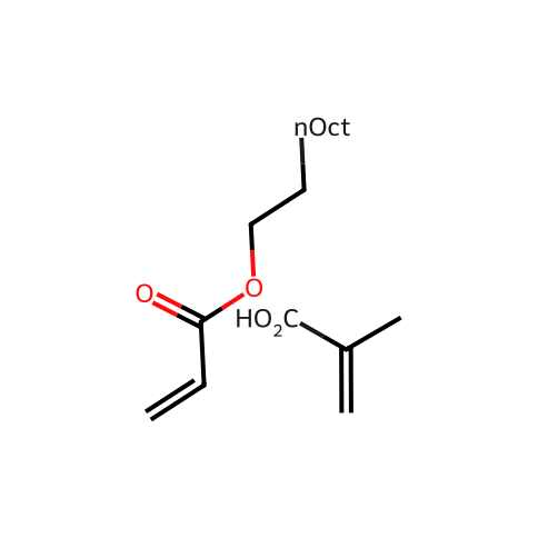 C=C(C)C(=O)O.C=CC(=O)OCCCCCCCCCC